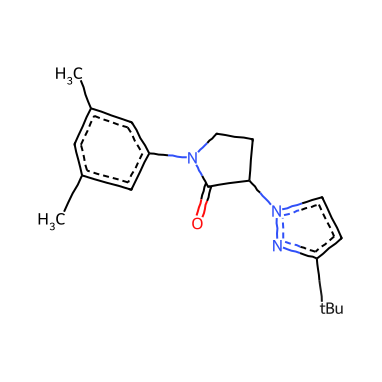 Cc1cc(C)cc(N2CCC(n3ccc(C(C)(C)C)n3)C2=O)c1